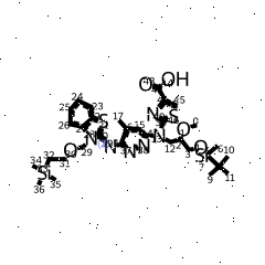 COC(CO[Si](C)(C)C(C)(C)C)CN(c1cc(C)c(/N=c2\sc3ccccc3n2COCC[Si](C)(C)C)nn1)c1nc(C(=O)O)cs1